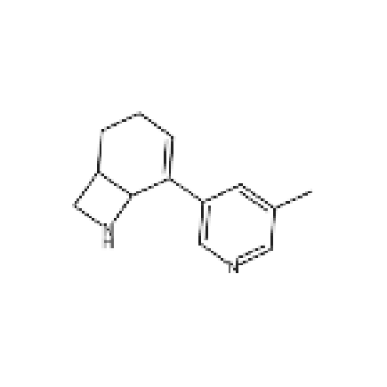 Cc1cncc(C2=CCCC3CNC23)c1